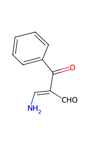 NC=C(C=O)C(=O)c1ccccc1